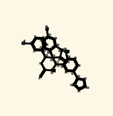 O=C1C[C@@H](c2cccc(Cl)c2)[C@]2(C(=O)Nc3cc(Cl)ccc32)[C@@H](c2cc(-c3cscn3)ccc2O)N1